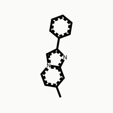 Cc1ccn2cc(-c3ccccc3)nc2c1